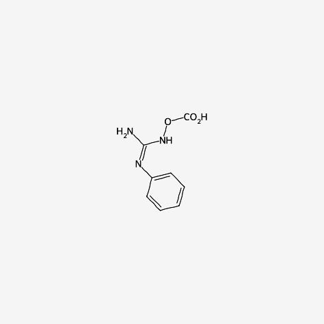 NC(=Nc1ccccc1)NOC(=O)O